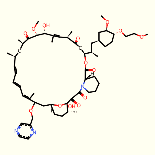 COCCO[C@@H]1CC[C@@H](C[C@@H](C)[C@@H]2CC(=O)[C@H](C)/C=C(\C)[C@@H](O)[C@@H](OC)C(=O)[C@H](C)C[C@H](C)/C=C/C=C/C=C(\C)C(OCc3cnccn3)C[C@@H]3CC[C@@H](C)[C@@](O)(O3)C(=O)C(=O)N3CCCC[C@H]3C(=O)O2)C[C@H]1OC